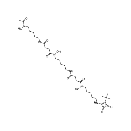 CC(=O)N(O)CCCCCNC(=O)CCC(=O)N(O)CCCCCNC(=O)CCC(=O)N(O)CCCCCNc1c(C(C)(C)C)c(=O)c1=O